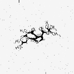 CC(C)Cn1c(=O)n(C)c(=O)c2c(C(=O)OC(C)(C)C)csc21